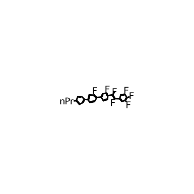 CCCc1ccc(-c2ccc(-c3ccc(/C(F)=C(\F)c4cc(F)c(F)c(F)c4)c(F)c3)c(F)c2)cc1